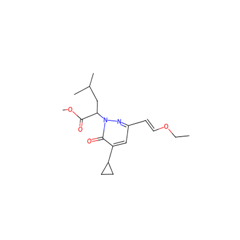 CCOC=Cc1cc(C2CC2)c(=O)n(C(CC(C)C)C(=O)OC)n1